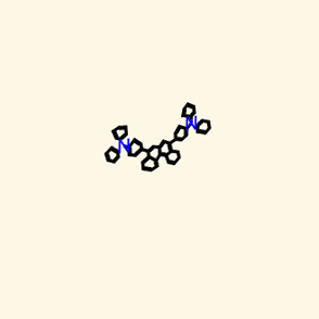 C1=CC(N(c2ccccc2)c2ccc(-c3cc4cc(-c5ccc(N(c6ccccc6)c6ccccc6)cc5)c5ccccc5c4c4c3CCC=C4)cc2)=CCC1